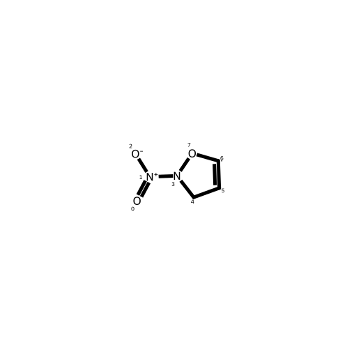 O=[N+]([O-])N1CC=[C]O1